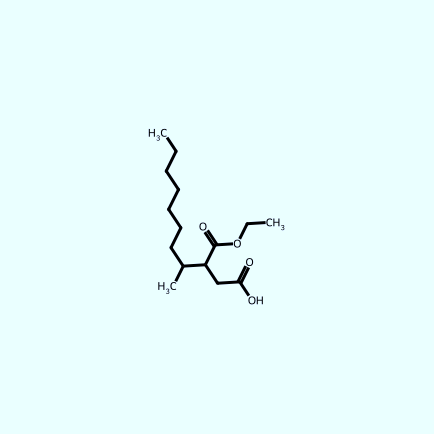 CCCCCCCC(C)C(CC(=O)O)C(=O)OCC